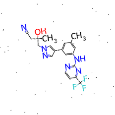 Cc1cc(Nc2nccc(C(F)(F)F)n2)cc(-c2cnn(C[C@@](C)(O)CC#N)c2)c1